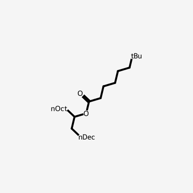 CCCCCCCCCCCC(CCCCCCCC)OC(=O)CCCCCC(C)(C)C